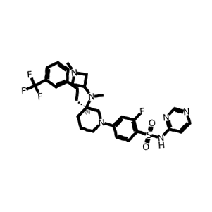 CN1CC(N(C)[C@]2(CCc3cccc(C(F)(F)F)c3)CCCN(c3ccc(S(=O)(=O)Nc4ccncn4)c(F)c3)C2)C1